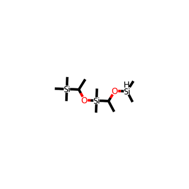 CC(O[Si](C)(C)C(C)O[SiH](C)C)[Si](C)(C)C